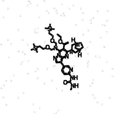 C=C(OCC)c1c([C@H]2C[C@@H]3CC[C@@H](C3)C2)nc2c(-c3ccc(NC(=O)NC)nc3)cnn2c1N(COCC[Si](C)(C)C)COCC[Si](C)(C)C